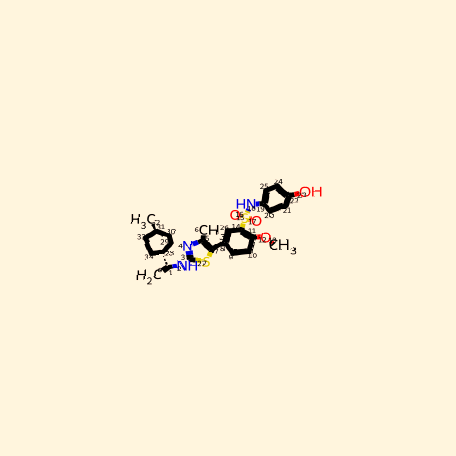 C=C(Nc1nc(C)c(-c2ccc(OC)c(S(=O)(=O)Nc3ccc(O)cc3)c2)s1)[C@H]1CC[C@H](C)CC1